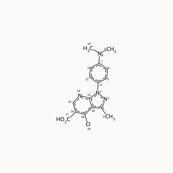 Cc1nn(-c2ccc(N(C)C)cc2)c2ncc(C(=O)O)c(Cl)c12